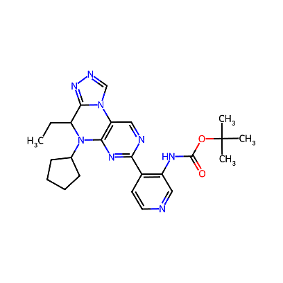 CCC1c2nncn2-c2cnc(-c3ccncc3NC(=O)OC(C)(C)C)nc2N1C1CCCC1